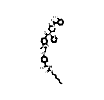 CCCCCCOC(=O)NC(=N)c1ccc(NCc2nc3cc(C(=O)N(c4ccccn4)C(CC)CC(=O)OC(=O)c4ccccc4O)ccc3n2C)cc1